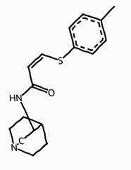 Cc1ccc(S/C=C\C(=O)NC2CN3CCC2CC3)cc1